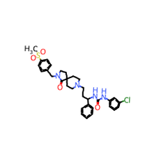 CS(=O)(=O)c1ccc(CN2CCC3(CCN(CCC(NC(=O)Nc4cccc(Cl)c4)c4ccccc4)CC3)C2=O)cc1